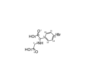 O=C(O)CNC(C(=O)O)c1ccc(Br)cc1